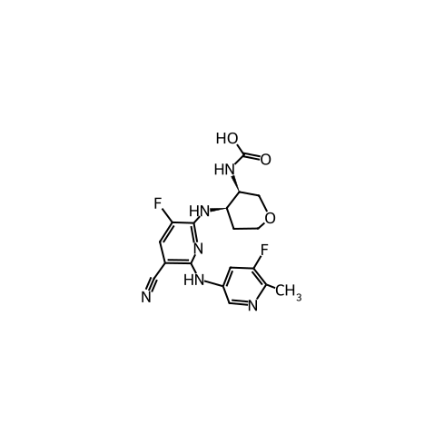 Cc1ncc(Nc2nc(N[C@@H]3CCOC[C@@H]3NC(=O)O)c(F)cc2C#N)cc1F